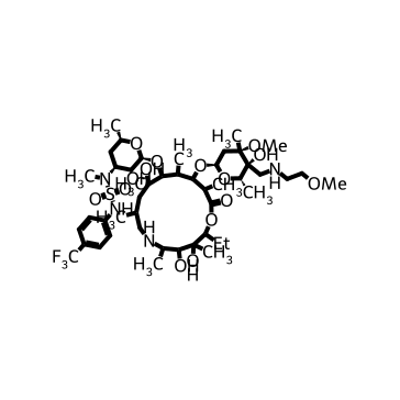 CCC1OC(=O)C(C)C(O[C@H]2C[C@@](C)(OC)[C@](O)(CNCCOC)[C@H](C)O2)C(C)C(O[C@@H]2O[C@H](C)C[C@H](N(C)S(=O)(=O)Nc3ccc(C(F)(F)F)cc3)[C@H]2O)C(C)(O)CC(C)CNC(C)C(O)C1(C)O